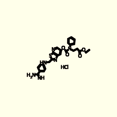 CCOC(=O)CCN(C(=O)Oc1cnc2sc(CNc3ccc(C(=N)N)cc3)nc2c1)c1ccccc1.Cl